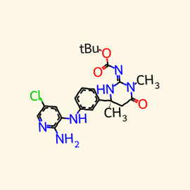 CN1C(=O)C[C@@](C)(c2cccc(Nc3cc(Cl)cnc3N)c2)N/C1=N\C(=O)OC(C)(C)C